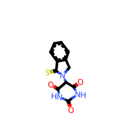 O=C1NC(=O)C(N2Cc3ccccc3C2=S)C(=O)N1